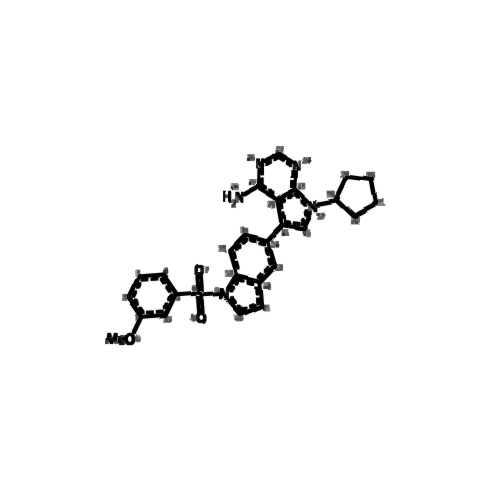 COc1cccc(S(=O)(=O)n2ccc3cc(-c4cn(C5CCCC5)c5ncnc(N)c45)ccc32)c1